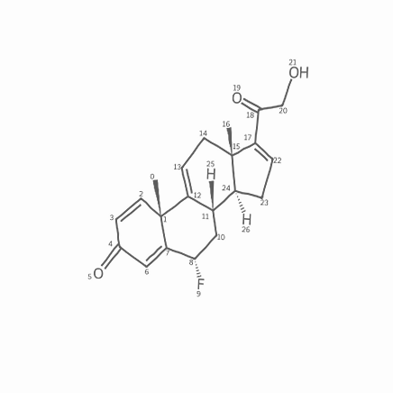 C[C@]12C=CC(=O)C=C1[C@@H](F)C[C@@H]1C2=CC[C@]2(C)C(C(=O)CO)=CC[C@@H]12